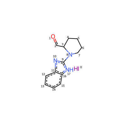 I.O=CC1CCCCN1c1nc2ccccc2[nH]1